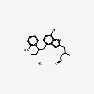 CCC(Oc1ccc(Cl)c2[nH]c(CC(C)OC=O)cc12)c1ccccc1N.Cl